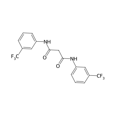 O=C(CC(=O)Nc1cccc(C(F)(F)F)c1)Nc1cccc(C(F)(F)F)c1